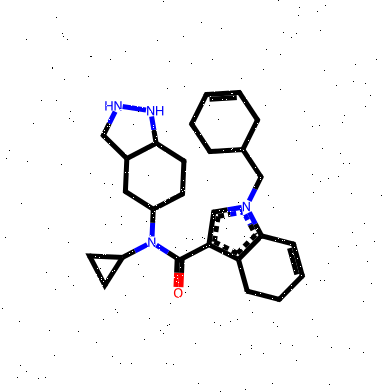 O=C(c1cn(CC2CC=CCC2)c2c1CCC=C2)N(C1CC1)C1CCC2NNCC2C1